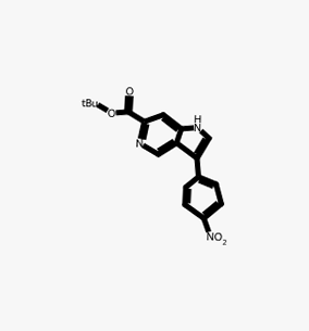 CC(C)(C)OC(=O)c1cc2[nH]cc(-c3ccc([N+](=O)[O-])cc3)c2cn1